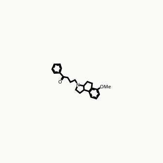 COc1cccc2c1CCC1C2CCN1CCCC(=O)c1ccccc1